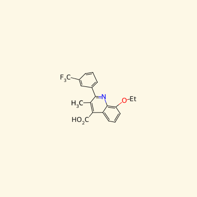 CCOc1cccc2c(C(=O)O)c(C)c(-c3cccc(C(F)(F)F)c3)nc12